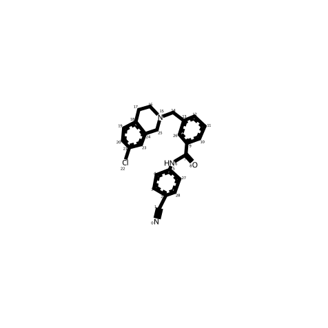 N#Cc1ccc(NC(=O)c2cccc(CN3CCc4ccc(Cl)cc4C3)c2)cc1